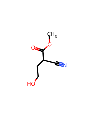 COC(=O)C(C#N)CCO